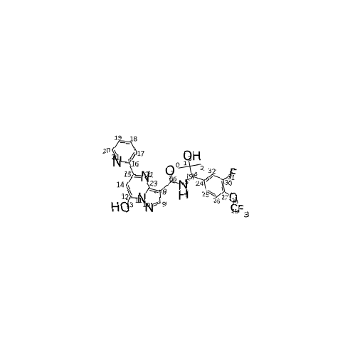 CC(C)(O)[C@@H](NC(=O)c1cnn2c(O)cc(-c3ccccn3)nc12)c1ccc(OC(F)(F)F)c(F)c1